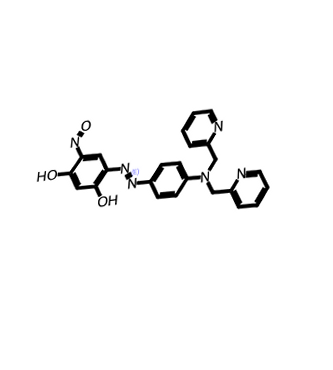 O=Nc1cc(/N=N/c2ccc(N(Cc3ccccn3)Cc3ccccn3)cc2)c(O)cc1O